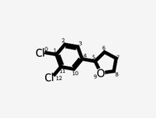 Clc1ccc(C2CCCO2)cc1Cl